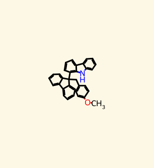 COc1ccc(CC2(c3cccc4c3[nH]c3ccccc34)c3ccccc3-c3ccccc32)cc1